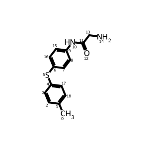 Cc1ccc(Sc2ccc(NC(=O)CN)cc2)cc1